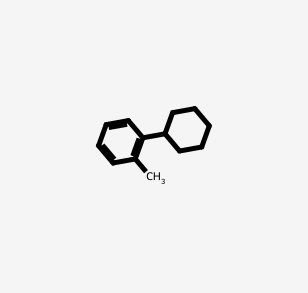 Cc1[c]cccc1C1CCCCC1